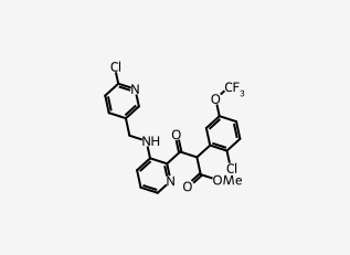 COC(=O)C(C(=O)c1ncccc1NCc1ccc(Cl)nc1)c1cc(OC(F)(F)F)ccc1Cl